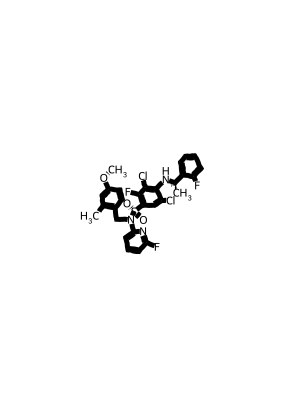 COc1ccc(CN(c2cccc(F)n2)S(=O)(=O)c2cc(Cl)c(N[C@@H](C)c3ccccc3F)c(Cl)c2F)c(C)c1